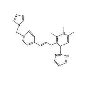 CC1=CC(c2ncccn2)C(CC=Cc2ccc(Cn3ccnc3)cc2)=C(C)N1C